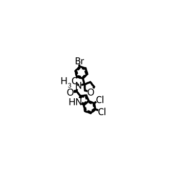 CN(C(=O)c1cc2c(Cl)c(Cl)ccc2[nH]1)C1(c2ccc(Br)cc2)CCOC1